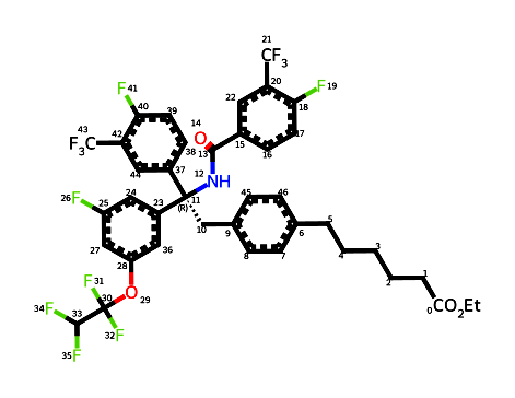 CCOC(=O)CCCCCc1ccc(C[C@](NC(=O)c2ccc(F)c(C(F)(F)F)c2)(c2cc(F)cc(OC(F)(F)C(F)F)c2)c2ccc(F)c(C(F)(F)F)c2)cc1